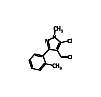 Cc1ccccc1-c1nn(C)c(Cl)c1C=O